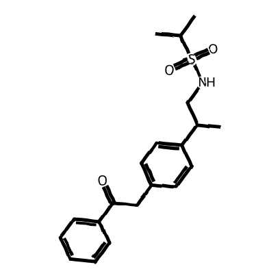 CC(CNS(=O)(=O)C(C)C)c1ccc(CC(=O)c2ccccc2)cc1